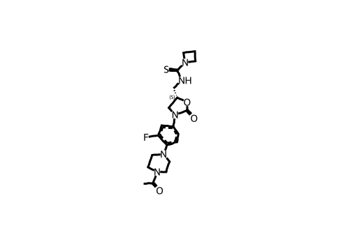 CC(=O)N1CCN(c2ccc(N3C[C@H](CNC(=S)N4CCC4)OC3=O)cc2F)CC1